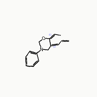 C=C/C=C1/CN(c2ccccc2)CO/C1=C/C